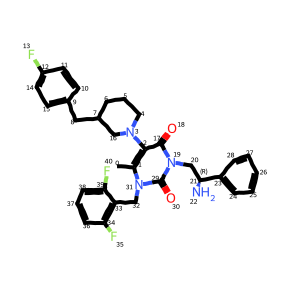 Cc1c(N2CCCC(Cc3ccc(F)cc3)C2)c(=O)n(C[C@H](N)c2ccccc2)c(=O)n1Cc1c(F)cccc1F